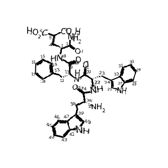 NC(=O)[C@H](CC(C(=O)O)C(=O)O)NC(=O)[C@@H](Cc1ccccc1)NC(=O)[C@H](Cc1c[nH]c2ccccc12)NC(=O)[C@H](N)Cc1c[nH]c2ccccc12